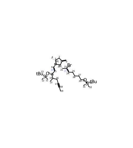 C=C1C[C@@H](C)[C@H](/C=C/[C@@H](O[Si](C)(C)C(C)(C)C)C(C)CC#CC)[C@H]1C/C(Br)=C/CCCCO[Si](C)(C)C(C)(C)C